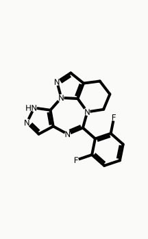 Fc1cccc(F)c1C1=Nc2cn[nH]c2-n2ncc3c2N1CCC3